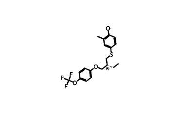 CC[C@H](COc1ccc(OC(F)(F)F)cc1)CSc1ccc([O])c(C)c1